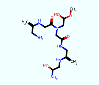 C=C(CN)NCC(=O)N(CC(=O)NCC(=C)NCC(N)O)CC(O)OC